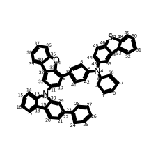 C1=CCC(N(c2ccc(-c3cc(-n4c5ccccc5c5ccc(-c6ccccc6)cc54)cc4c3oc3ccccc34)cc2)c2ccc3sc4ccccc4c3c2)C=C1